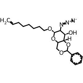 C=CCCCCCCO[C@@H]1OC2COC(c3ccccc3)O[C@H]2[C@H](O)C1N=[N+]=[N-]